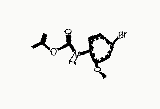 C=C(C)OC(=O)Nc1ccc(Br)cc1OC